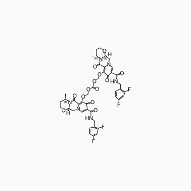 C[C@@H]1CCO[C@H]2Cn3cc(C(=O)NCc4ccc(F)cc4F)c(=O)c(OCOC(=O)OCOc4c5n(cc(C(=O)NCc6ccc(F)cc6F)c4=O)C[C@@H]4OCC[C@@H](C)N4C5=O)c3C(=O)N12